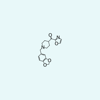 O=C(c1ncco1)C1CCN(Cc2ccc3c(c2)OCO3)CC1